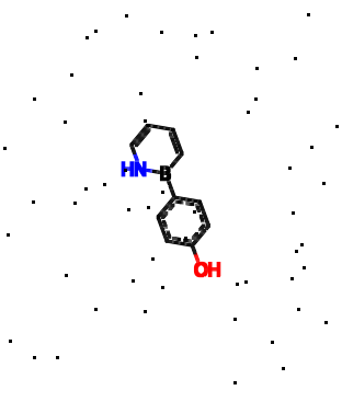 Oc1ccc(B2C=CC=CN2)cc1